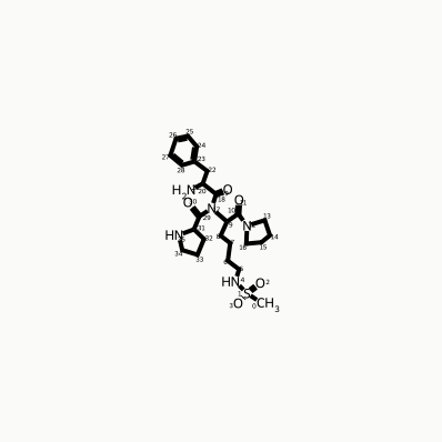 CS(=O)(=O)NCCCCC(C(=O)N1CCCC1)N(C(=O)C(N)Cc1ccccc1)C(=O)C1CCCN1